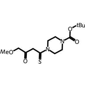 COCC(=O)CC(=S)N1CCN(C(=O)OC(C)(C)C)CC1